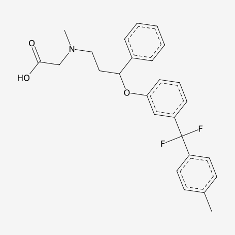 Cc1ccc(C(F)(F)c2cccc(OC(CCN(C)CC(=O)O)c3ccccc3)c2)cc1